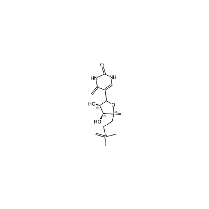 C=C1NC(=O)NC=C1C1O[C@](C)(CCP(=C)(C)C)[C@@H](O)[C@H]1O